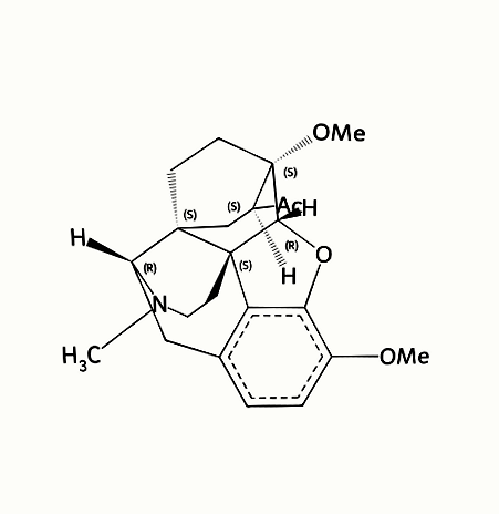 COc1ccc2c3c1O[C@H]1[C@]4(OC)CC[C@@]5(C[C@@H]4C(C)=O)[C@@H](C2)N(C)CC[C@]315